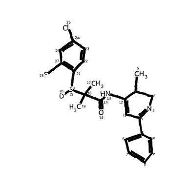 CC1CN=C(c2ccccc2)C=C1NC(=O)C(C)(C)[S+]([O-])c1ccc(Cl)cc1F